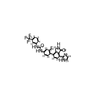 O=C(Nc1cccc(C(F)(F)F)c1)Nc1ccc(-c2ccc(-c3ncc[nH]3)c3c2CNC3=O)c(F)c1